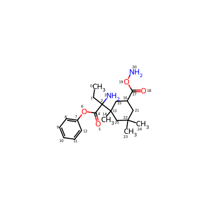 CCC(N)(C(=O)Oc1ccccc1)C1(C)CC(C(=O)ON)CC(C)(C)C1